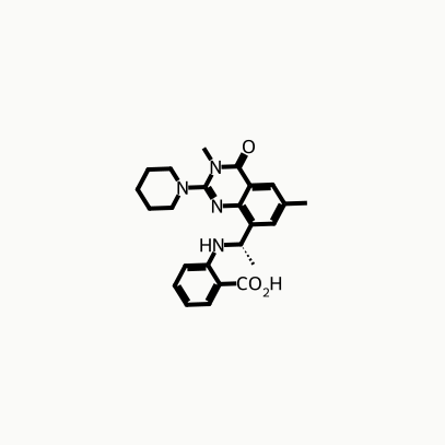 Cc1cc([C@H](C)Nc2ccccc2C(=O)O)c2nc(N3CCCCC3)n(C)c(=O)c2c1